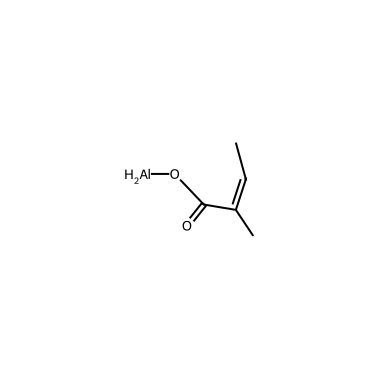 CC=C(C)C(=O)[O][AlH2]